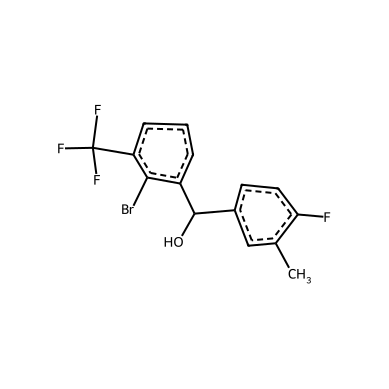 Cc1cc(C(O)c2cccc(C(F)(F)F)c2Br)ccc1F